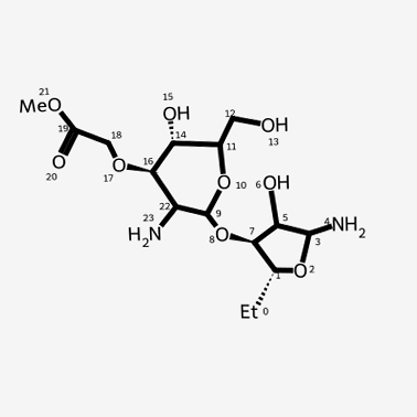 CC[C@H]1OC(N)C(O)[C@@H]1OC1OC(CO)[C@@H](O)[C@H](OCC(=O)OC)C1N